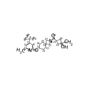 Cc1cc(C(F)(F)F)cc(OC2CCC3(CC2)CN(C(=O)C2CC(C)(O)C2)C3)n1